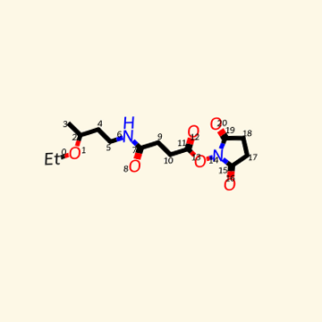 CCOC(C)CCNC(=O)CCC(=O)ON1C(=O)CCC1=O